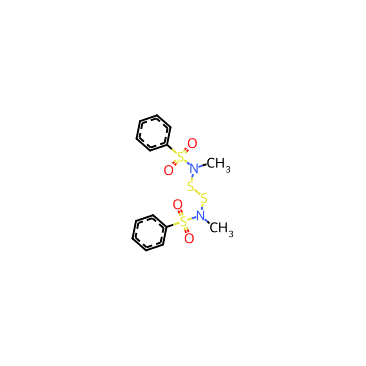 CN(SSN(C)S(=O)(=O)c1ccccc1)S(=O)(=O)c1ccccc1